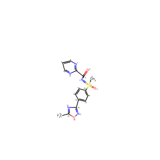 CS(=O)(=NC(=O)c1ncccn1)c1ccc(-c2noc(C(F)(F)F)n2)cc1